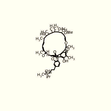 CO[C@H]1/C=C/O[C@@]2(C)Oc3c(C)c(O)c4c(=O)c(c5oc6cc(CCC[N+](C)(C)C(C)C)ccc6nc-5c4c3C2=O)NC(=O)/C(C)=C\C=C\[C@H](C)[C@H](O)[C@@H](C)[C@@H](C)[C@@H](C)[C@H](OC(C)=O)[C@@H]1C